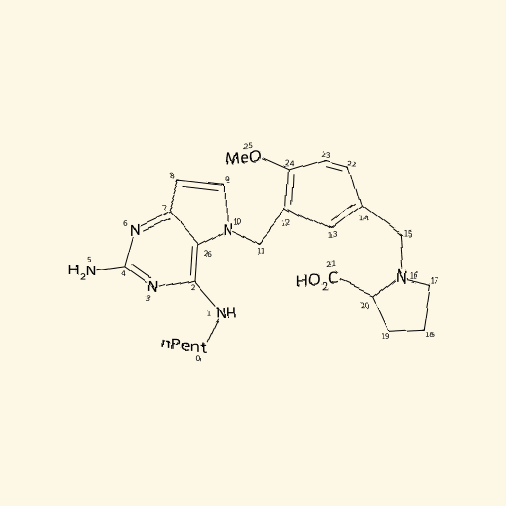 CCCCCNc1nc(N)nc2ccn(Cc3cc(CN4CCCC4C(=O)O)ccc3OC)c12